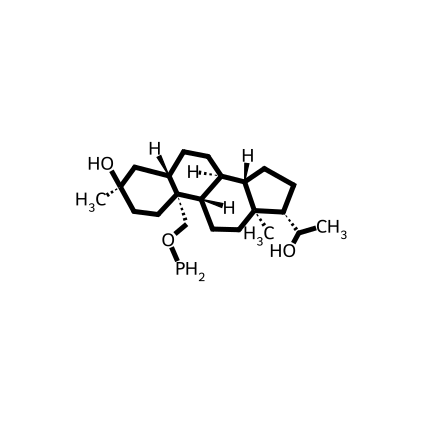 CC(O)[C@H]1CC[C@H]2[C@@H]3CC[C@H]4C[C@](C)(O)CC[C@]4(COP)[C@H]3CC[C@]12C